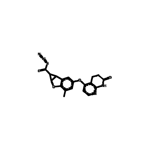 Cc1cc(Oc2ccnc3c2CCC(=O)N3)cc2c1OC1C(C(=O)N=[N+]=[N-])C21